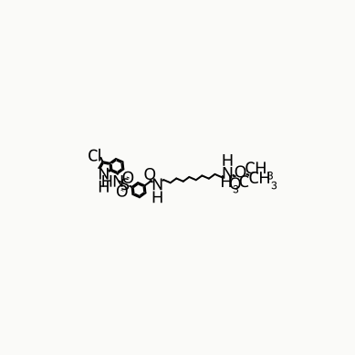 CC(C)(C)OC(=O)NCCCCCCCCCCNC(=O)c1cccc(S(=O)(=O)Nc2cccc3c(Cl)c[nH]c23)c1